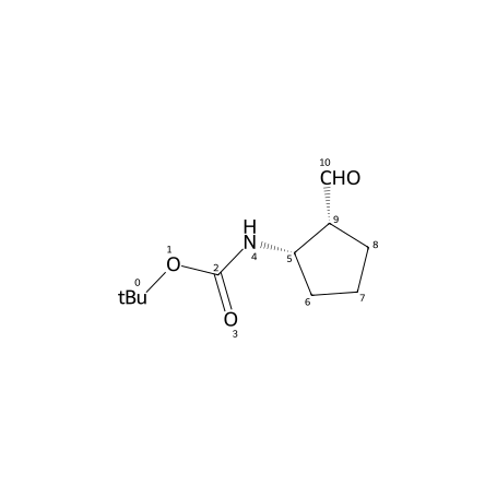 CC(C)(C)OC(=O)N[C@H]1CCC[C@H]1C=O